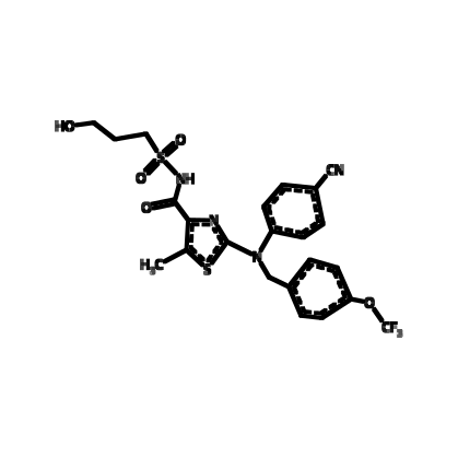 Cc1sc(N(Cc2ccc(OC(F)(F)F)cc2)c2ccc(C#N)cc2)nc1C(=O)NS(=O)(=O)CCCO